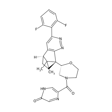 CC1(C)[C@H]2CC[C@]1([C@H]1CN(C(=O)c3c[nH]c(=O)cn3)CCO1)c1nnc(-c3c(F)cccc3F)cc12